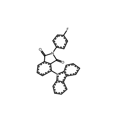 O=C1c2cccc(-n3c4ccccc4c4ccccc43)c2C(=O)N1c1ccc(F)cc1